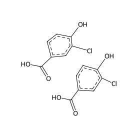 O=C(O)c1ccc(O)c(Cl)c1.O=C(O)c1ccc(O)c(Cl)c1